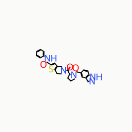 O=C(Nc1ccccc1)c1cc2c(s1)CCN(C(=O)C1CCCN1C(=O)c1ccc3[nH]ncc3c1)C2